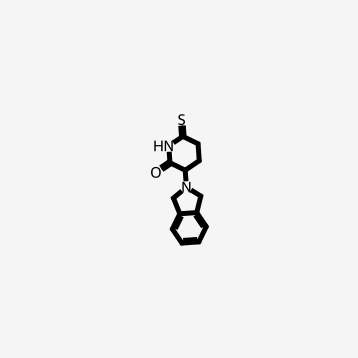 O=C1NC(=S)CCC1N1Cc2ccccc2C1